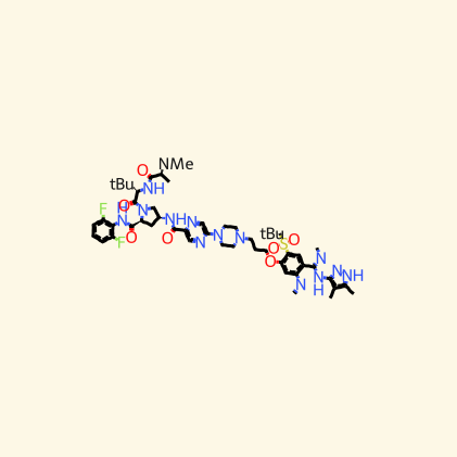 C=Nc1cc(OCCCN2CCN(c3cnc(C(=O)N[C@H]4C[C@@H](C(=O)Nc5c(F)cccc5F)N(C(=O)[C@@H](NC(=O)[C@H](C)NC)C(C)(C)C)C4)cn3)CC2)c(S(=O)(=O)C(C)(C)C)cc1/C(=N\C)Nc1n[nH]c(C)c1C